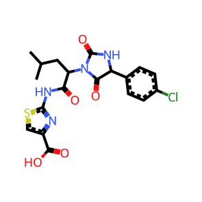 CC(C)CC(C(=O)Nc1nc(C(=O)O)cs1)N1C(=O)NC(c2ccc(Cl)cc2)C1=O